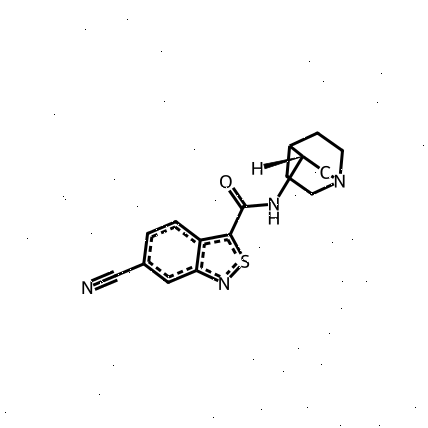 N#Cc1ccc2c(C(=O)N[C@H]3CN4CCC3CC4)snc2c1